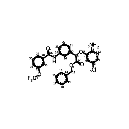 Nc1ncc(Cl)cc1O[C@@H](C(=O)OCc1ccccc1)c1cccc(NC(=O)c2cccc(OC(F)(F)F)c2)c1